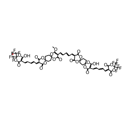 COC1=C(/C=C/C=C/C=C2C(=O)OC3(CCC4(CC3)OC(=O)C(/C=C/C=C/C=C3C(=O)OC(C(F)(F)F)(C(F)(F)F)OC3=O)=C(O)O4)OC2=O)C(=O)OC2(CCC3(CC2)OC(=O)C(=C/C=C/C=C/C2=C(O)OC(C(F)(F)F)(C(F)(F)F)OC2=O)C(=O)O3)O1